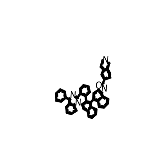 c1ccc(-c2nc(-c3ccccc3-c3ccc4ccccc4c3-c3cc4oc(-c5ccc6cnccc6c5)nc4c4ccccc34)nc3ccccc23)cc1